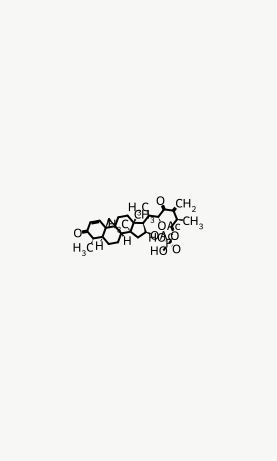 C=C(C(=O)[C@H](OC(C)=O)[C@@H](C)[C@H]1[C@@H](OC(C)=O)C[C@@]2(C)[C@@H]3CC[C@H]4[C@H](C)C(=O)C=C[C@@]45C[C@@]35CC[C@]12C)[C@@H](C)COP(=O)(O)O